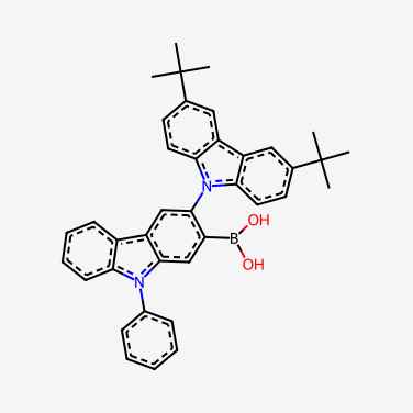 CC(C)(C)c1ccc2c(c1)c1cc(C(C)(C)C)ccc1n2-c1cc2c3ccccc3n(-c3ccccc3)c2cc1B(O)O